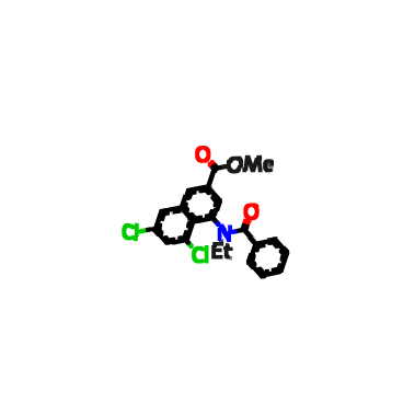 CCN(C(=O)c1ccccc1)c1cc(C(=O)OC)cc2cc(Cl)cc(Cl)c12